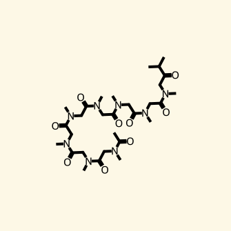 CC(=O)N(C)CC(=O)N(C)CC(=O)N(C)CC(=O)N(C)CC(=O)N(C)CC(=O)N(C)CC(=O)N(C)CC(=O)N(C)CC(=O)C(C)C